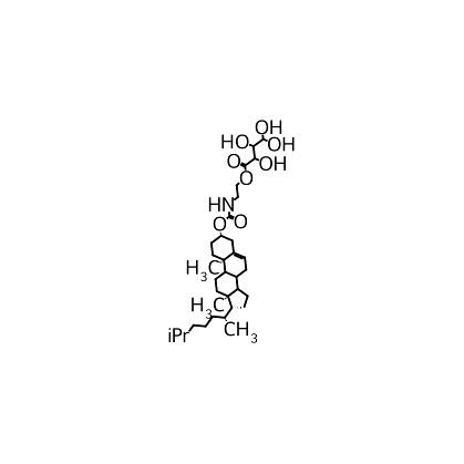 CC(C)CCC[C@@H](C)[C@H]1CCC2C3CC=C4C[C@@H](OC(=O)NCCOC(=O)C(O)C(O)C(O)O)CC[C@]4(C)C3CC[C@@]21C